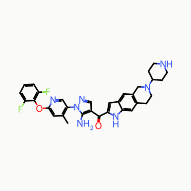 Cc1cc(Oc2c(F)cccc2F)ncc1-n1ncc(C(=O)c2cc3cc4c(cc3[nH]2)CCN(C2CCNCC2)C4)c1N